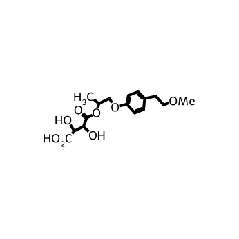 COCCc1ccc(OCC(C)OC(=O)C(O)C(O)C(=O)O)cc1